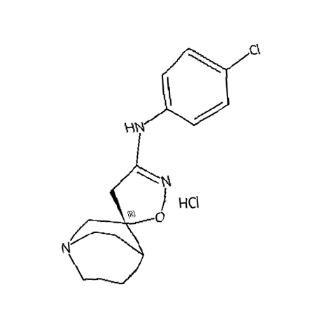 Cl.Clc1ccc(NC2=NO[C@@]3(C2)CN2CCC3CC2)cc1